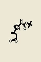 C=C(CC1OC1=O)c1csc(NC(=O)OC(C)(C)C)n1